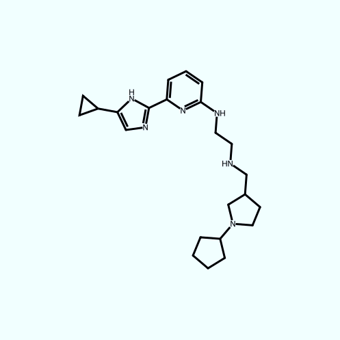 c1cc(NCCNCC2CCN(C3CCCC3)C2)nc(-c2ncc(C3CC3)[nH]2)c1